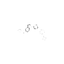 O=C(c1ccc2c(ccn2-c2ccc(OC3CCN(C4CCC4)CC3)cn2)c1)N1CCCC1